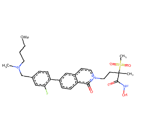 COCCCN(C)Cc1ccc(-c2ccc3c(=O)n(CCC(C)(C(=O)NO)S(C)(=O)=O)ccc3c2)c(F)c1